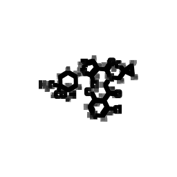 C[C@]1(C(=O)O)CC[C@H](n2ncc(C(=O)N(CC(=O)c3c(Cl)cncc3Cl)CC3(C(F)(F)F)CC3)c2Cl)CC1